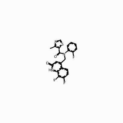 Cc1ncsc1C(=O)N(Cc1cc(=O)[nH]c2c(F)c(F)ccc12)c1ccccc1F